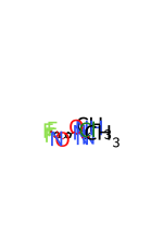 CNC(=O)N(CCc1ccc(Oc2ccc(C(F)(F)F)cn2)cc1)c1ncnc(C)c1Cl